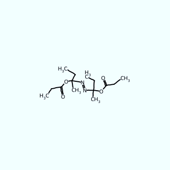 CCC(=O)OC(C)(CC)N=NC(C)(CC)OC(=O)CC